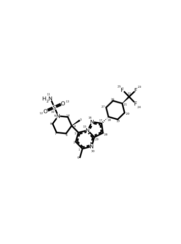 Cc1cc([C@]2(C)CCCN(S(N)(=O)=O)C2)n2nc([C@H]3CC[C@H](C(F)(F)F)CC3)cc2n1